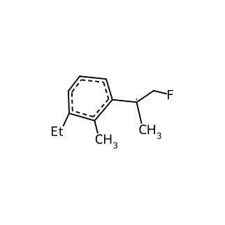 CCc1cccc([C](C)CF)c1C